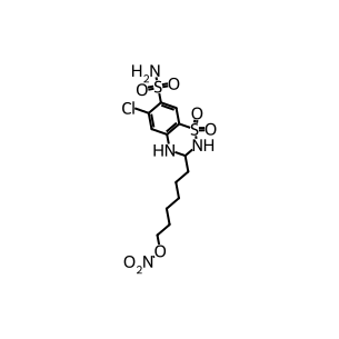 NS(=O)(=O)c1cc2c(cc1Cl)NC(CCCCCCO[N+](=O)[O-])NS2(=O)=O